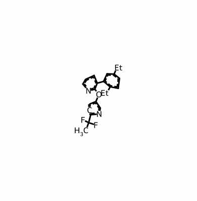 CCc1ccc(CC)c(-c2cccnc2Oc2ccc(C(C)(F)F)nc2)c1